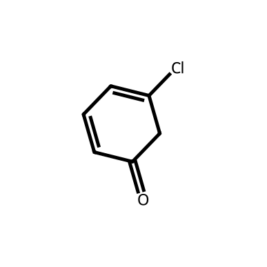 O=C1C=CC=C(Cl)C1